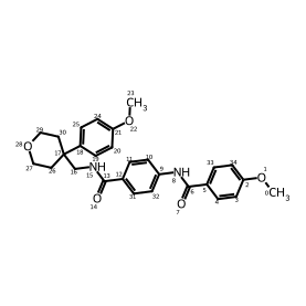 COc1ccc(C(=O)Nc2ccc(C(=O)NCC3(c4ccc(OC)cc4)CCOCC3)cc2)cc1